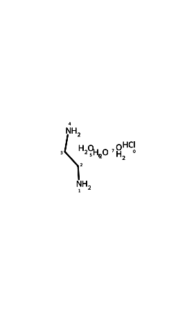 Cl.NCCN.O.O.O